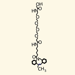 CC/C1=C/c2ccccc2CN(C(=O)CCCCCNC(=O)CCOCCOCCOCCOCCNC(=O)CO)c2ccccc21